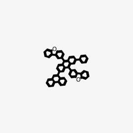 c1ccc(-c2ccc3c(-c4ccc5oc6ccccc6c5c4)c4ccc(-c5cc6ccccc6c6ccccc56)cc4c(-c4ccc5oc6ccccc6c5c4)c3c2)cc1